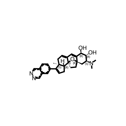 CN(C)[C@H]1C[C@@]23CC[C@@]4(O2)C(=CC[C@]2(C)C(c5ccc6cnncc6c5)=CC[C@H]24)C=C3[C@@H](O)[C@@H]1O